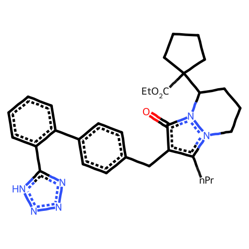 CCCc1c(Cc2ccc(-c3ccccc3-c3nnn[nH]3)cc2)c(=O)n2n1CCCC2C1(C(=O)OCC)CCCC1